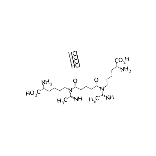 CC(=N)N(CCCCC(N)C(=O)O)C(=O)CCCC(=O)N(CCCCC(N)C(=O)O)C(C)=N.Cl.Cl.Cl.Cl